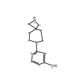 O=Cc1ccnc(N2CCC3(CC2)CNC3)c1